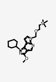 COc1nn(C2CCCCC2)c2c1cnc1c2ccn1COCC[Si](C)(C)C